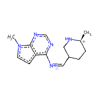 C[C@H]1CCC(/C=N\c2ncnc3c2ccn3C)CN1